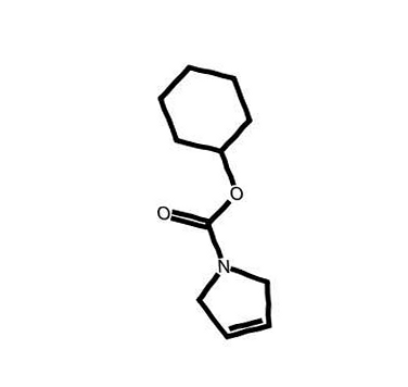 O=C(OC1CCCCC1)N1CC=CC1